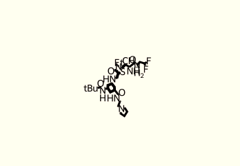 CCn1c(=O)/c(=C\Nc2cc(NC(=O)C(C)(C)C)cc(C(=O)NCCN3CCCC3)c2)s/c1=C(/C)C(N)C(=O)NCC(F)F